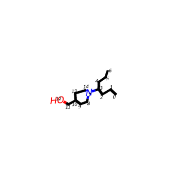 CCCC(CCC)N1CCC(CO)CC1